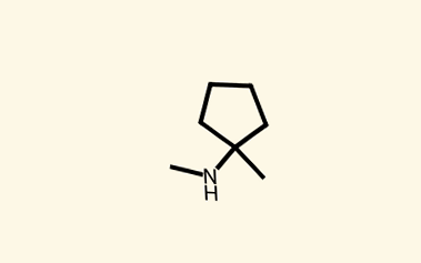 CNC1(C)CCCC1